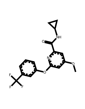 COc1cc(Oc2cccc(C(F)(F)F)c2)nc(C(=O)NC2CC2)c1